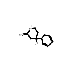 CC1(C2C=CC=CC2)CCNC(=O)C1